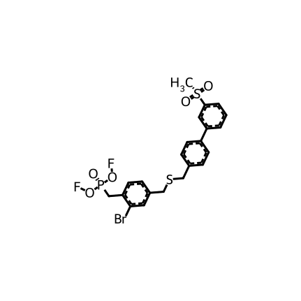 CS(=O)(=O)c1cccc(-c2ccc(CSCc3ccc(CP(=O)(OF)OF)c(Br)c3)cc2)c1